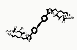 C=CCCN(Cc1ncc(-c2ccc(C#Cc3ccc(-c4cnc(CN(CCC=C)C(=O)[C@@H](NC(=O)OC)C(C)C)[nH]4)cc3)cc2)[nH]1)C(=O)C(NC(=O)OC)C(F)(F)F